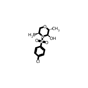 B[C@H]1CO[C@H](C)[C@@H](O)N1S(=O)(=O)c1ccc(Cl)cc1